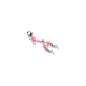 O=C(NS(=O)(=O)NCCOCCOC(=O)N(CCOC(=O)Oc1ccc([N+](=O)[O-])cc1)CCOC(=O)Oc1ccc([N+](=O)[O-])cc1)OC[C@@H]1[C@@H]2CCC#CCC[C@@H]21